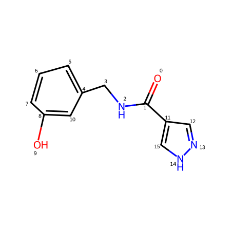 O=C(NCc1cccc(O)c1)c1cn[nH]c1